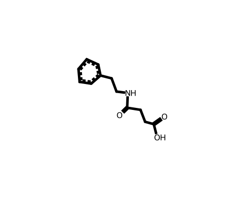 O=C(O)CCC(=O)NCCc1ccccc1